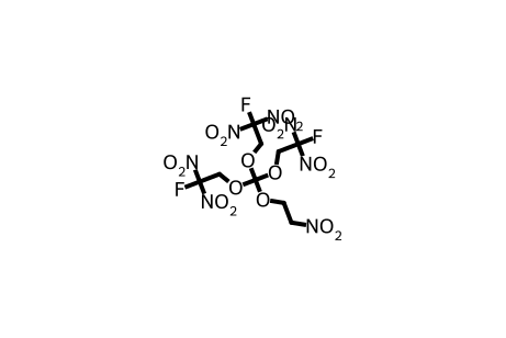 O=[N+]([O-])CCOC(OCC(F)([N+](=O)[O-])[N+](=O)[O-])(OCC(F)([N+](=O)[O-])[N+](=O)[O-])OCC(F)([N+](=O)[O-])[N+](=O)[O-]